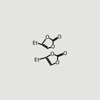 CCc1coc(=O)o1.CCc1coc(=O)o1